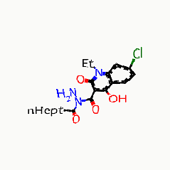 CCCCCCCC(=O)N(N)C(=O)c1c(O)c2ccc(Cl)cc2n(CC)c1=O